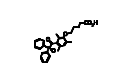 Cc1cc(C)c(C(=O)P(=O)(c2ccccc2)c2ccccc2)c(C)c1OCCCCC(=O)O